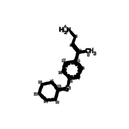 CC(=CCN)c1ccc(SC2CCCCC2)cc1